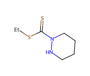 CCSC(=S)N1CCCCN1